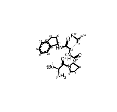 CC(C)(C)[C@H](N)C(=O)N1CCC[C@H]1C(=O)N[C@@H](CC(F)F)C(=O)NC1CCc2ccccc21